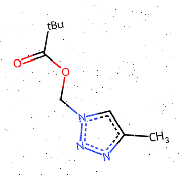 Cc1cn(COC(=O)C(C)(C)C)nn1